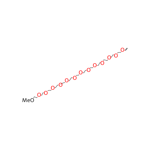 C=COCCOCCOCCOCCOCCOCCOCCOCCOCCOCCOCCOCCOCCOC